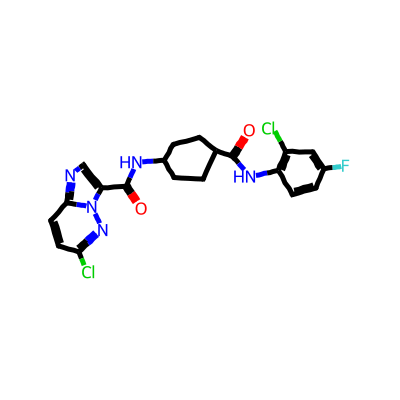 O=C(NC1CCC(C(=O)Nc2ccc(F)cc2Cl)CC1)c1cnc2ccc(Cl)nn12